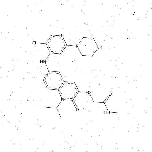 CNC(=O)COc1cc2cc(Nc3nc(N4CCNCC4)ncc3Cl)ccc2n(C(C)C)c1=O